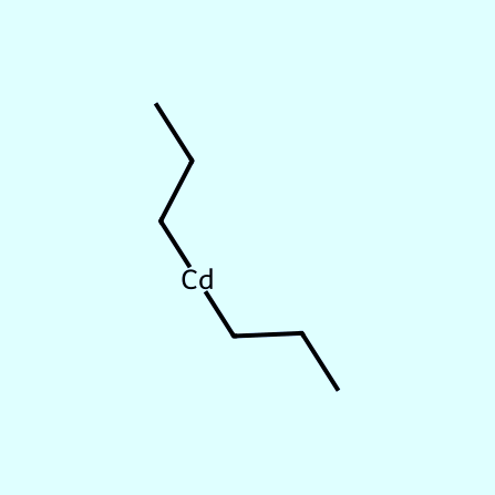 CC[CH2][Cd][CH2]CC